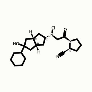 N#C[C@@H]1CCCN1C(=O)CN(Cl)[C@@H]1C[C@@H]2CC(O)(C3CCCCC3)C[C@@H]2C1